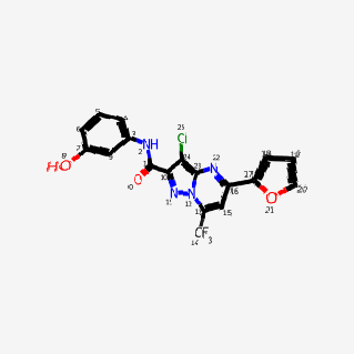 O=C(Nc1cccc(O)c1)c1nn2c(C(F)(F)F)cc(-c3ccco3)nc2c1Cl